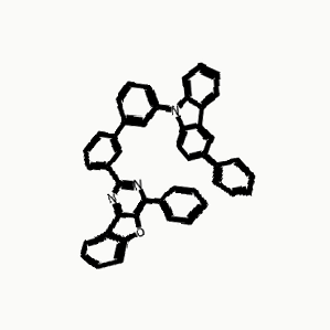 c1ccc(-c2ccc3c(c2)c2ccccc2n3-c2cccc(-c3cccc(-c4nc(-c5ccccc5)c5oc6ccccc6c5n4)c3)c2)cc1